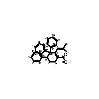 CC(C)=CC1=C(C(=O)O)CCC(c2ccccc2)C1(c1ccccc1)c1ccccc1